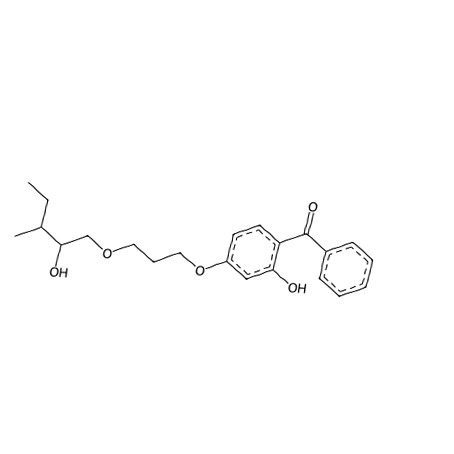 CCC(C)C(O)COCCCOc1ccc(C(=O)c2ccccc2)c(O)c1